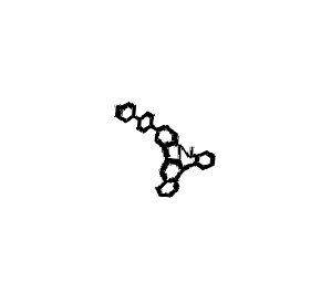 c1ccc(-c2ccc(-c3ccc4c(c3)c3cc5ccccc5c5c6ccccc6n4c35)cc2)cc1